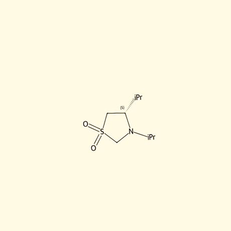 CC(C)[C@H]1CS(=O)(=O)CN1C(C)C